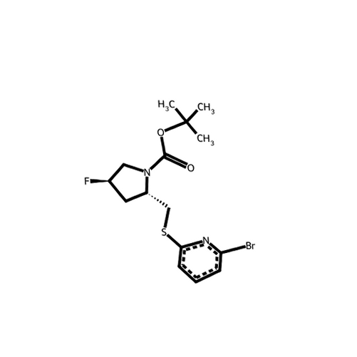 CC(C)(C)OC(=O)N1C[C@H](F)C[C@H]1CSc1cccc(Br)n1